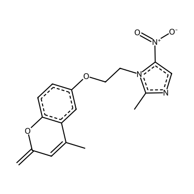 C=C1C=C(C)c2cc(OCCn3c([N+](=O)[O-])cnc3C)ccc2O1